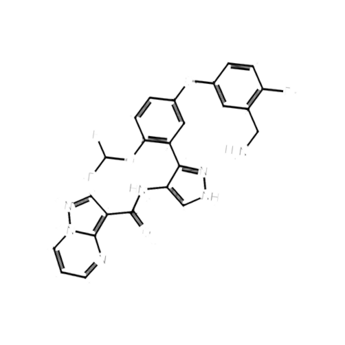 NCc1cc(Oc2ccc(OC(F)F)c(-c3n[nH]cc3NC(=O)c3cnn4cccnc34)c2)ccc1F